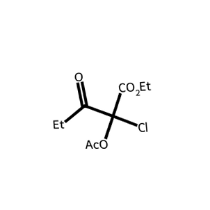 CCOC(=O)C(Cl)(OC(C)=O)C(=O)CC